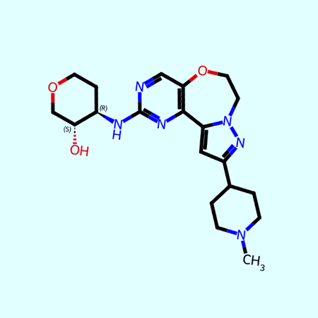 CN1CCC(c2cc3n(n2)CCOc2cnc(N[C@@H]4CCOC[C@H]4O)nc2-3)CC1